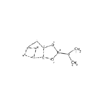 CC(C)B1OC2CC3CC(C3)C2O1